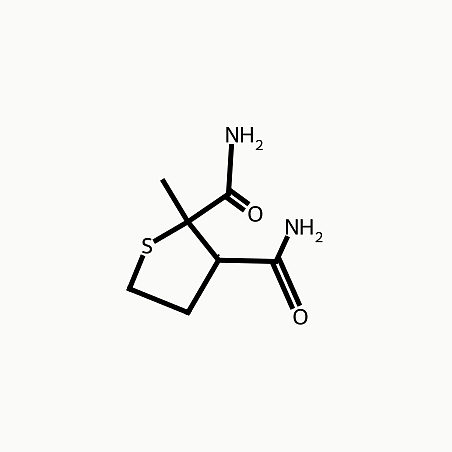 CC1(C(N)=O)SCC[C]1C(N)=O